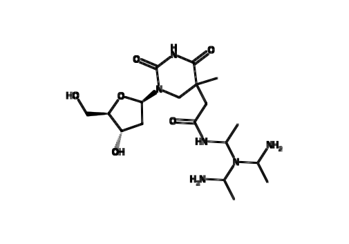 CC(N)N(C(C)N)C(C)NC(=O)CC1(C)CN([C@H]2C[C@H](O)[C@@H](CO)O2)C(=O)NC1=O